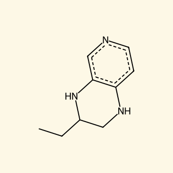 CCC1CNc2ccncc2N1